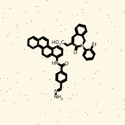 CCc1ccccc1N1Cc2ccccc2C=C(CC(=O)O)C1=O.NN=Cc1ccc(C(=O)Nc2cccc3c2=CCc2c4c(ccc2=3)=CCCC4)cc1